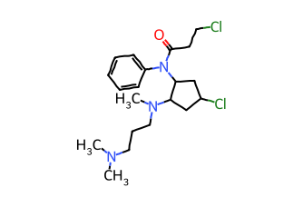 CN(C)CCCN(C)C1CC(Cl)CC1N(C(=O)CCCl)c1ccccc1